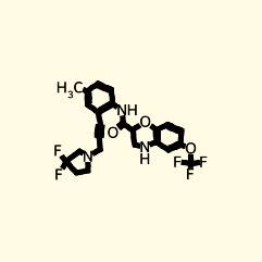 Cc1ccc(NC(=O)C2CNc3cc(OC(F)(F)F)ccc3O2)c(C#CCN2CCC(F)(F)C2)c1